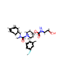 Cc1cc(F)ccc1[C@H]1C[C@@H](OC(=O)NCCO)CCN1C(=O)N(C)Cc1ccccc1